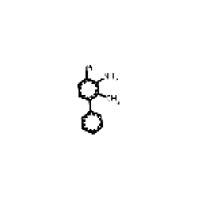 Cc1c(-c2ccccc2)ccc(C(C)C)c1N